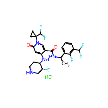 CC(NC(=O)c1cn(C2(C(F)F)CC2)c(=O)cc1N[C@@H]1CCNC[C@@H]1F)c1cccc(C(F)F)c1F.Cl